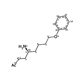 CC(=O)SC[C@@H](N)CCCCOc1ccccc1